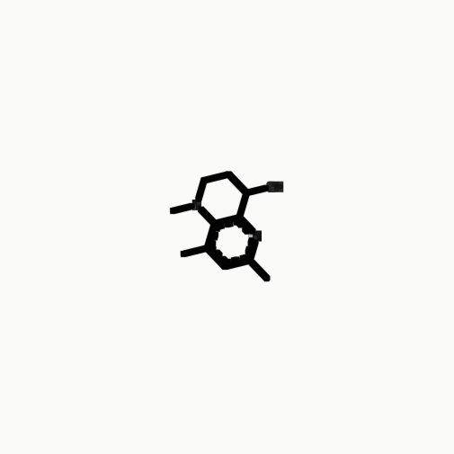 Cc1cc(C)c2c(n1)C(O)CCN2C